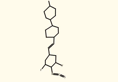 CC1CCC(C2CCC(C=CC3CC(F)C(N=C=S)C(F)C3)CC2)CC1